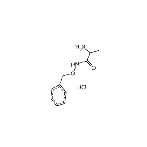 CC(N)C(=O)NOCc1ccccc1.Cl